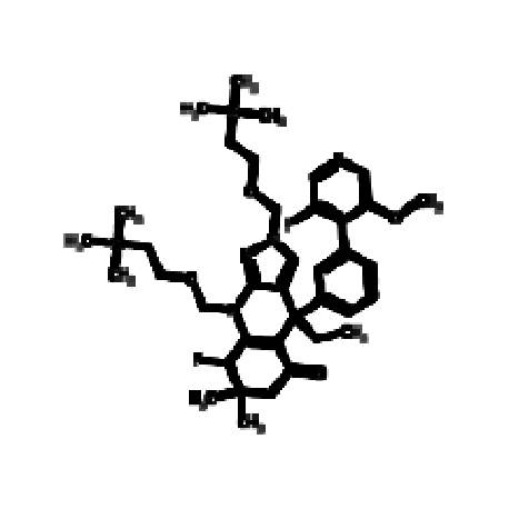 CCC1(c2cccc(-c3c(F)cncc3OC)c2)C2=C(C(F)C(C)(C)CC2=O)N(COCC[Si](C)(C)C)c2nn(COCC[Si](C)(C)C)cc21